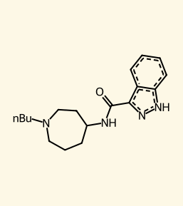 CCCCN1CCCC(NC(=O)c2n[nH]c3ccccc23)CC1